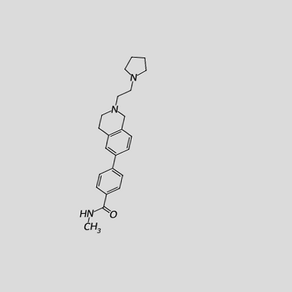 CNC(=O)c1ccc(-c2ccc3c(c2)CCN(CCN2CCCC2)C3)cc1